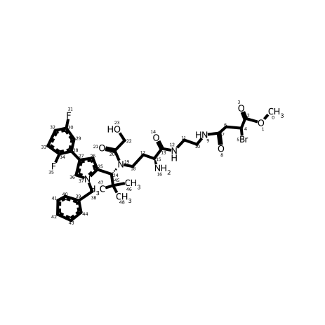 COC(=O)C(Br)CC(=O)NCCNC(=O)[C@@H](N)CCN(C(=O)CO)[C@@H](c1cc(-c2cc(F)ccc2F)cn1Cc1ccccc1)C(C)(C)C